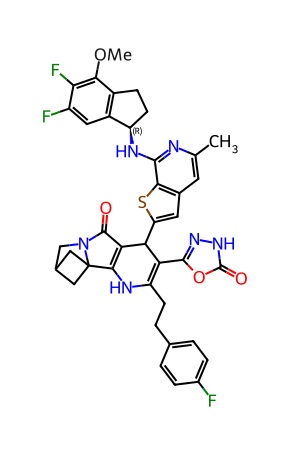 COc1c(F)c(F)cc2c1CC[C@H]2Nc1nc(C)cc2cc(C3C4=C(NC(CCc5ccc(F)cc5)=C3c3n[nH]c(=O)o3)C35CC(CN3C4=O)C5)sc12